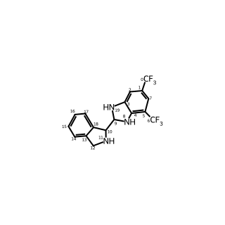 FC(F)(F)c1cc2c(c(C(F)(F)F)c1)NC(C1NCc3ccccc31)N2